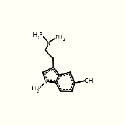 Oc1ccc2c(c1)c(CCN(P)P)cn2P